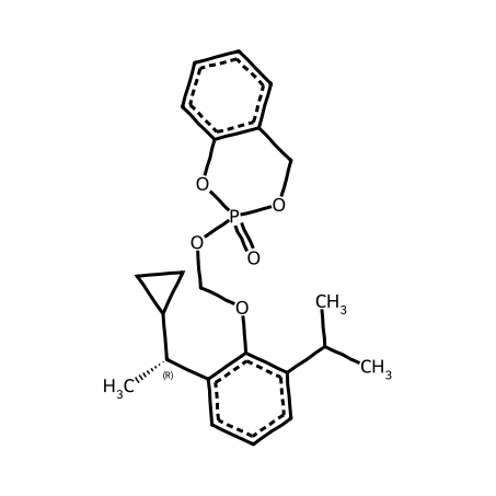 CC(C)c1cccc([C@H](C)C2CC2)c1OCOP1(=O)OCc2ccccc2O1